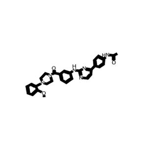 COc1ccccc1N1CCN(C(=O)c2cccc(Nc3nccc(-c4ccc(NC(C)=O)cc4)n3)c2)CC1